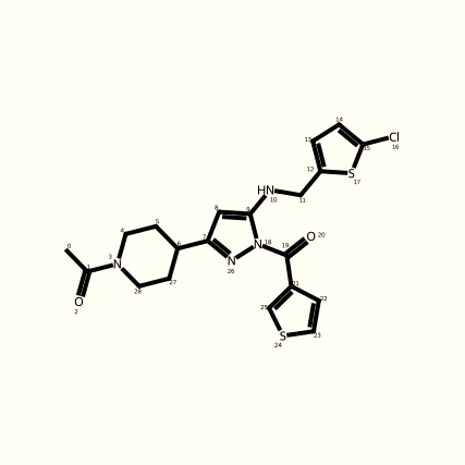 CC(=O)N1CCC(c2cc(NCc3ccc(Cl)s3)n(C(=O)c3ccsc3)n2)CC1